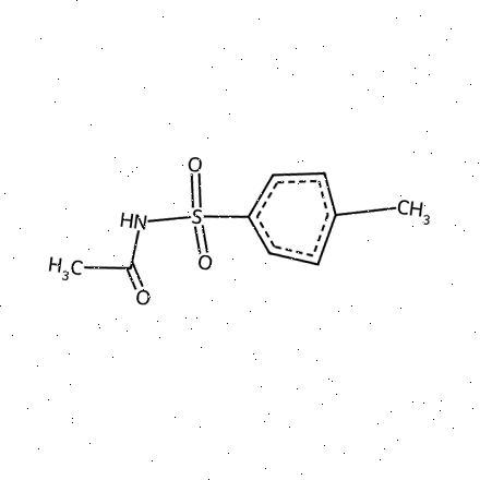 CC(=O)NS(=O)(=O)c1ccc(C)cc1